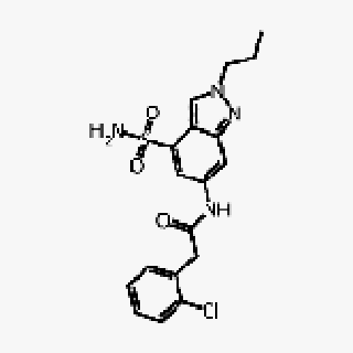 CCCn1cc2c(S(N)(=O)=O)cc(NC(=O)Cc3ccccc3Cl)cc2n1